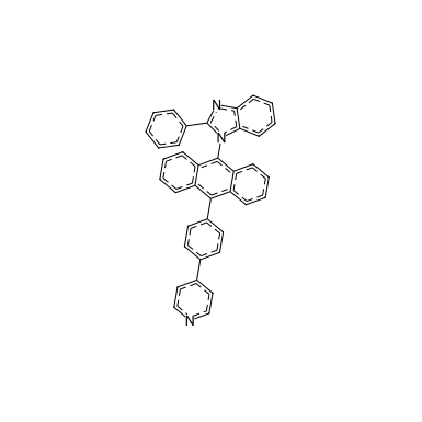 c1ccc(-c2nc3ccccc3n2-c2c3ccccc3c(-c3ccc(-c4ccncc4)cc3)c3ccccc23)cc1